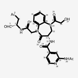 CC(=O)C[C@@H](C=O)NC(=O)CN1C(=O)[C@@H](NC(=O)c2ccnc(NC(C)=O)c2)CN(C(=O)CO)c2ccccc21